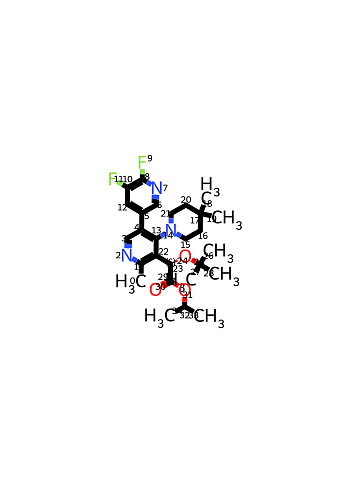 Cc1ncc(-c2cnc(F)c(F)c2)c(N2CCC(C)(C)CC2)c1[C@H](OC(C)(C)C)C(=O)OC(C)C